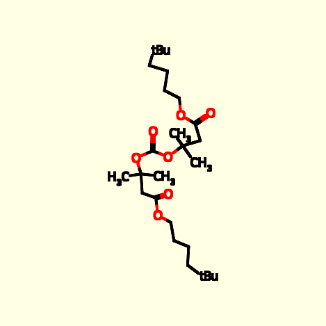 CC(C)(C)CCCCOC(=O)CC(C)(C)OC(=O)OC(C)(C)CC(=O)OCCCCC(C)(C)C